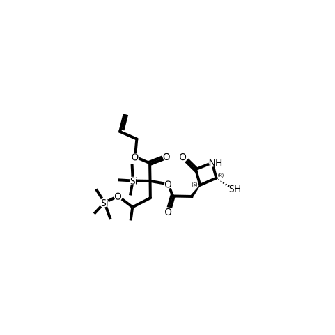 C=CCOC(=O)C(CC(C)O[Si](C)(C)C)(OC(=O)C[C@H]1C(=O)N[C@@H]1S)[Si](C)(C)C